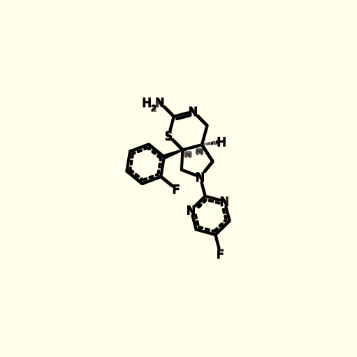 NC1=NC[C@H]2CN(c3ncc(F)cn3)C[C@]2(c2ccccc2F)S1